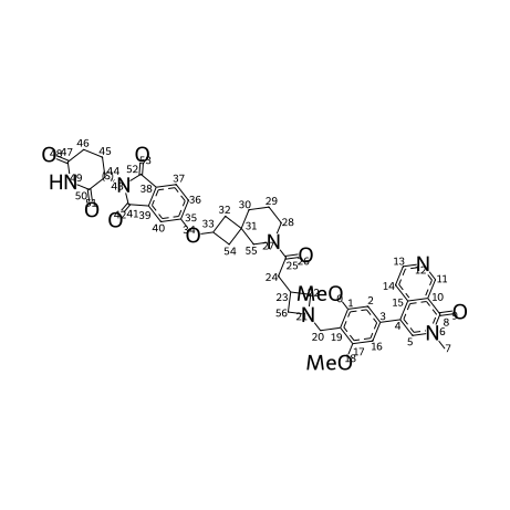 COc1cc(-c2cn(C)c(=O)c3cnccc23)cc(OC)c1CN1CC(CC(=O)N2CCCC3(CC(Oc4ccc5c(c4)C(=O)N([C@H]4CCC(=O)NC4=O)C5=O)C3)C2)C1